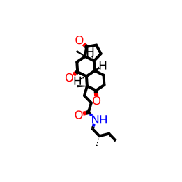 CC[C@H](C)CNC(=O)CC[C@@]1(C)C(=O)CC[C@@H]2[C@@H]1C(=O)C[C@]1(C)C(=O)CC[C@@H]21